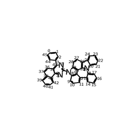 c1ccc(-c2nc(-n3c4cccc5c6ccccc6n6c7ccccc7c7ccc3c(c54)c76)nc3c2ccc2ccccc23)cc1